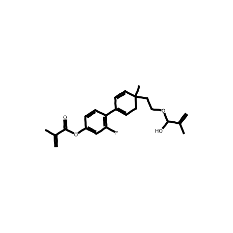 C=C(C)C(=O)Oc1ccc(C2=CCC(C)(CCOC(O)C(=C)C)C=C2)c(F)c1